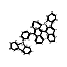 c1cc(-c2c3ccccc3c(-c3c4ccccc4cc4c3oc3ccccc34)c3ccccc23)cc(-n2c3ccccc3c3ccccc32)c1